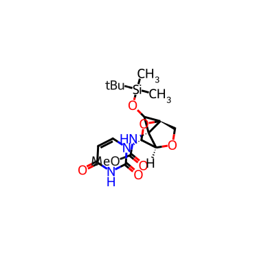 COC(=O)N[C@]12C(O[Si](C)(C)C(C)(C)C)[C@]13CO[C@H]2[C@H](n1ccc(=O)[nH]c1=O)O3